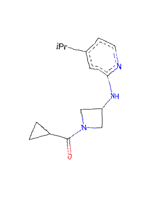 CC(C)c1ccnc(NC2CN(C(=O)C3CC3)C2)c1